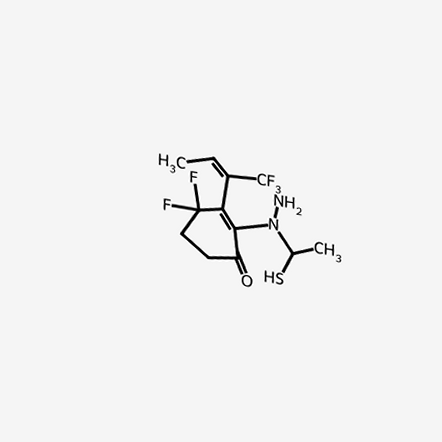 C/C=C(\C1=C(N(N)C(C)S)C(=O)CCC1(F)F)C(F)(F)F